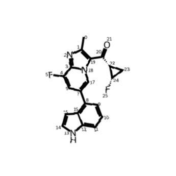 Cc1nc2c(F)cc(-c3cccc4[nH]ccc34)cn2c1C(=O)[C@@H]1C[C@@H]1F